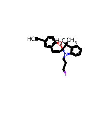 C#Cc1ccc2c(c1)C=CC1(O2)N(CCCI)c2ccccc2C1(C)C